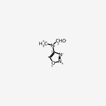 CN([C]=O)c1conn1